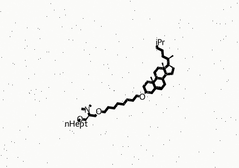 CCCCCCCOC[C@H](COCCCCCCCCO[C@H]1CC[C@@]2(C)C(=CCC3C2CC[C@@]2(C)C3CC[C@@H]2[C@H](C)CCCC(C)C)C1)N(C)C